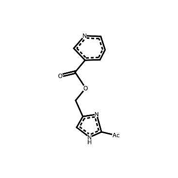 CC(=O)c1nc(COC(=O)c2cccnc2)c[nH]1